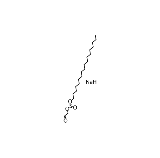 CCCCCCCCCCCCCCCCCCOS(=O)OCC=O.[NaH]